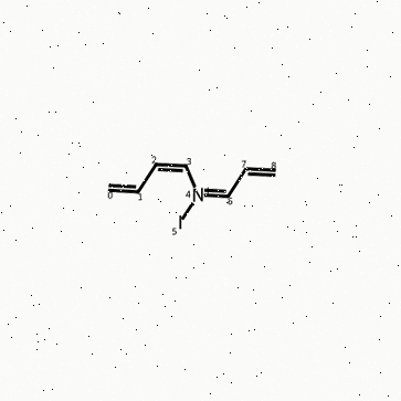 C=C/C=C\[N+](I)=C/C=C